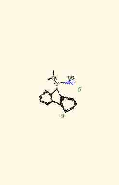 C[SiH](C)[Zr+2]([NH]C(C)(C)C)[CH]1c2ccccc2-c2ccccc21.[Cl-].[Cl-]